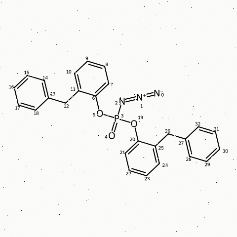 [N-]=[N+]=NP(=O)(Oc1ccccc1Cc1ccccc1)Oc1ccccc1Cc1ccccc1